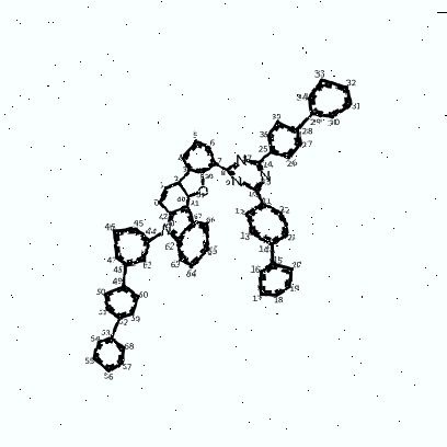 C1=CC2c3cccc(-c4nc(-c5ccc(-c6ccccc6)cc5)nc(-c5ccc(-c6ccccc6)cc5)n4)c3OC2c2c1n(-c1cccc(-c3ccc(-c4ccccc4)cc3)c1)c1ccccc21